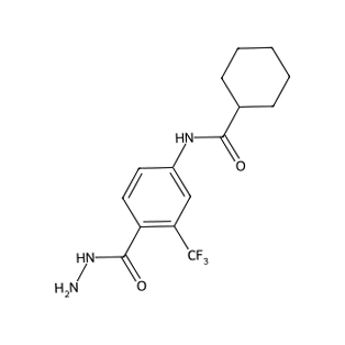 NNC(=O)c1ccc(NC(=O)C2CCCCC2)cc1C(F)(F)F